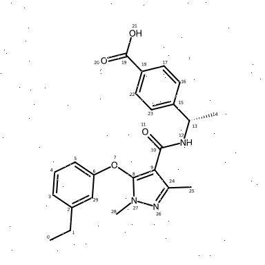 CCc1cccc(Oc2c(C(=O)N[C@@H](C)c3ccc(C(=O)O)cc3)c(C)nn2C)c1